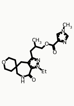 CCn1nc(CC(C)COC(=O)c2cn(C)cn2)c2c1C(=O)NCC1(CCOCC1)C2